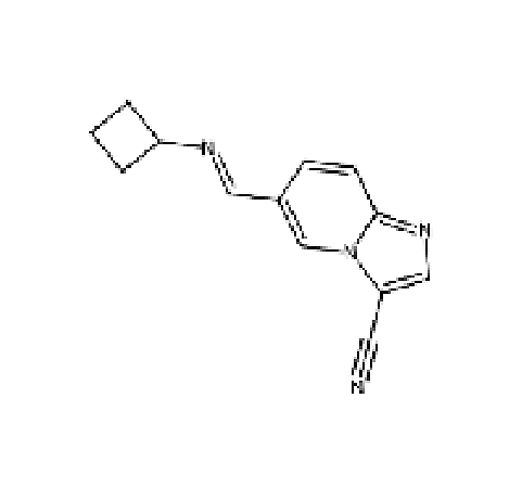 N#Cc1cnc2ccc(/C=N/C3CCC3)cn12